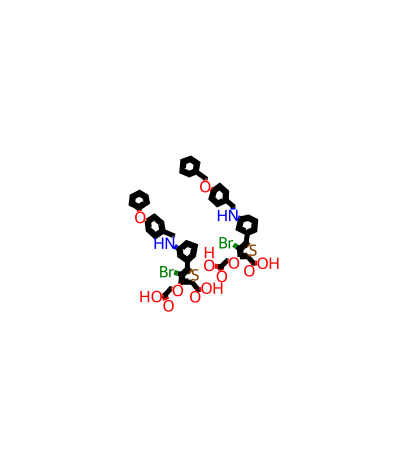 O=C(O)COc1c(C(=O)O)sc(-c2cccc(NCc3ccc(OCc4ccccc4)cc3)c2)c1Br.O=C(O)COc1c(C(=O)O)sc(-c2cccc(NCc3ccc(Oc4ccccc4)cc3)c2)c1Br